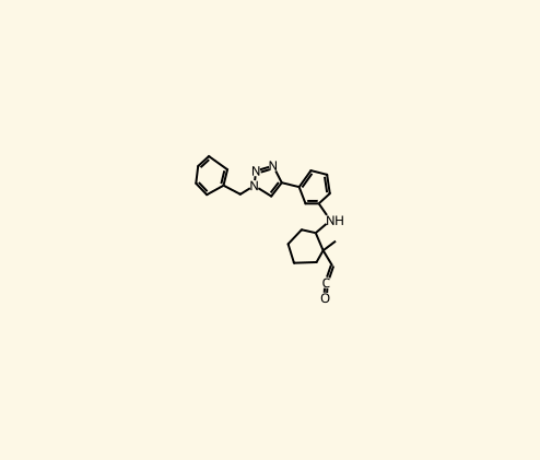 CC1(C=C=O)CCCCC1Nc1cccc(-c2cn(Cc3ccccc3)nn2)c1